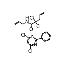 C=CCNC(=O)C(Cl)(Cl)CC=C.Clc1cc(Cl)nc(-c2ccccc2)n1